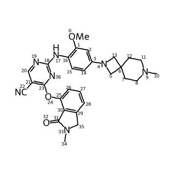 COc1cc(N2CC3(CCN(C)CC3)C2)ccc1Nc1ncc(C#N)c(Oc2cccc3c2C(=O)N(C)C3)n1